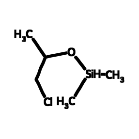 CC(CCl)O[SiH](C)C